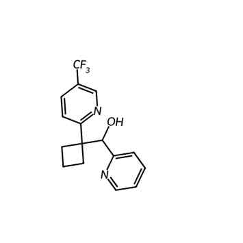 OC(c1ccccn1)C1(c2ccc(C(F)(F)F)cn2)CCC1